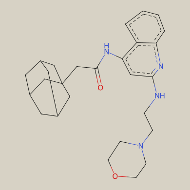 O=C(CC12CC3CC(CC(C3)C1)C2)Nc1cc(NCCN2CCOCC2)nc2ccccc12